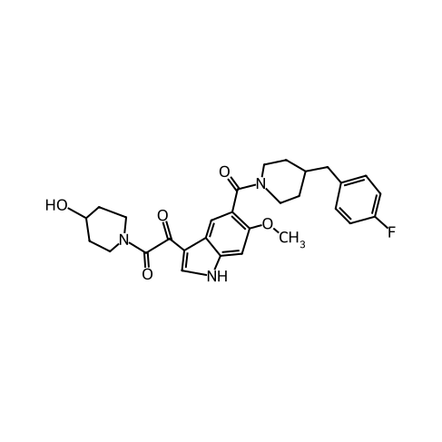 COc1cc2[nH]cc(C(=O)C(=O)N3CCC(O)CC3)c2cc1C(=O)N1CCC(Cc2ccc(F)cc2)CC1